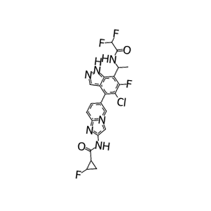 CC(NC(=O)C(F)F)c1c(F)c(Cl)c(-c2ccc3nc(NC(=O)C4CC4F)cn3c2)c2cn[nH]c12